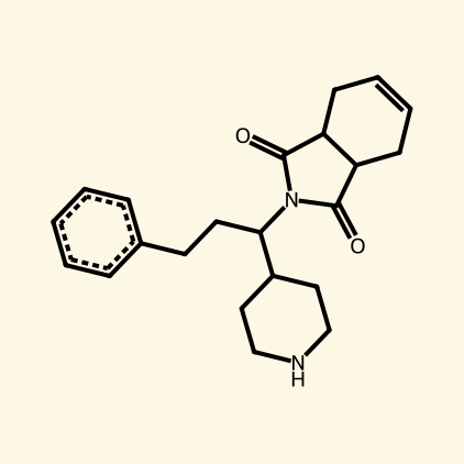 O=C1C2CC=CCC2C(=O)N1C(CCc1ccccc1)C1CCNCC1